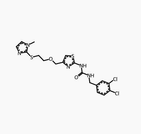 Cn1ccnc1SCCOCc1csc(NC(=O)NCc2ccc(Cl)c(Cl)c2)n1